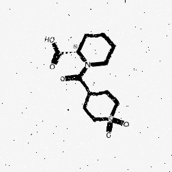 O=C(O)[C@@H]1CCCCN1C(=O)C1CCS(=O)(=O)CC1